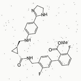 COC(=O)c1c(F)cccc1-c1ccc(CNC(=O)[C@@H]2C[C@H]2CNc2ccc(C3=NCCN3)cc2)c(F)c1